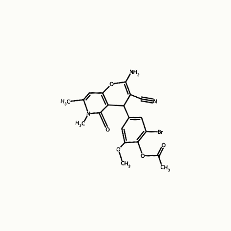 COc1cc(C2C(C#N)=C(N)Oc3cc(C)n(C)c(=O)c32)cc(Br)c1OC(C)=O